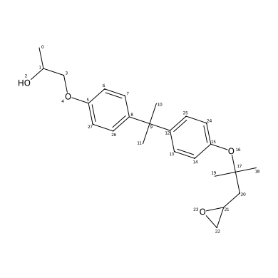 CC(O)COc1ccc(C(C)(C)c2ccc(OC(C)(C)CC3CO3)cc2)cc1